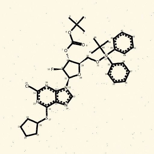 CC(C)(C)OC(=O)O[C@H]1[C@H](F)[C@H](n2cnc3c(SC4CCCC4)nc(Cl)nc32)O[C@@H]1CO[Si](c1ccccc1)(c1ccccc1)C(C)(C)C